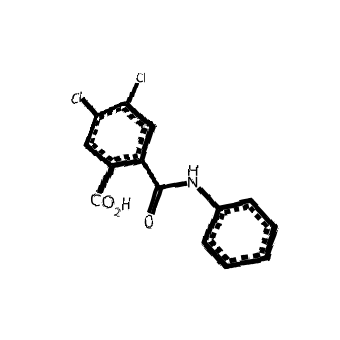 O=C(O)c1cc(Cl)c(Cl)cc1C(=O)Nc1ccccc1